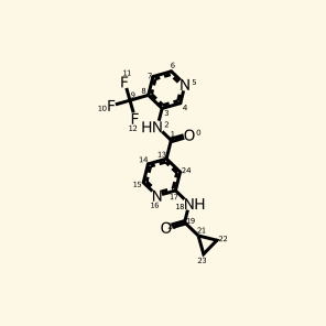 O=C(Nc1cnccc1C(F)(F)F)c1ccnc(NC(=O)C2CC2)c1